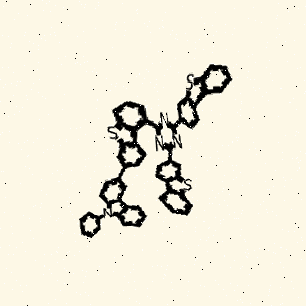 c1ccc(-n2c3ccccc3c3cc(-c4ccc5c(c4)sc4cccc(-c6nc(-c7ccc8c(c7)sc7ccccc78)nc(-c7ccc8c(c7)sc7ccccc78)n6)c45)ccc32)cc1